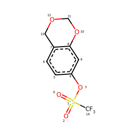 O=S(=O)(Oc1ccc2c(c1)OCOC2)C(F)(F)F